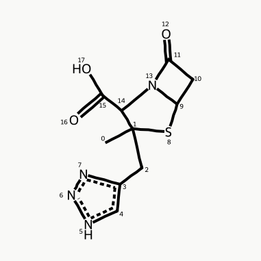 CC1(Cc2c[nH]nn2)SC2CC(=O)N2C1C(=O)O